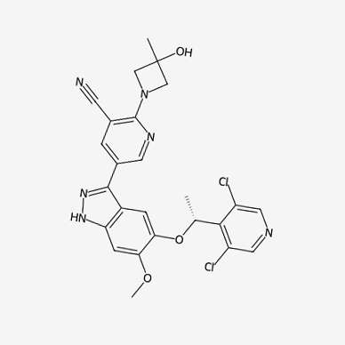 COc1cc2[nH]nc(-c3cnc(N4CC(C)(O)C4)c(C#N)c3)c2cc1O[C@H](C)c1c(Cl)cncc1Cl